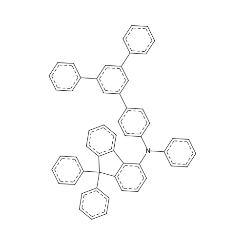 c1ccc(-c2cc(-c3ccccc3)cc(-c3ccc(N(c4ccccc4)c4cccc5c4-c4ccccc4C5(c4ccccc4)c4ccccc4)cc3)c2)cc1